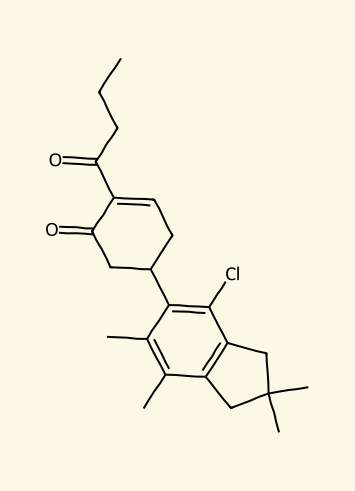 CCCC(=O)C1=CCC(c2c(C)c(C)c3c(c2Cl)CC(C)(C)C3)CC1=O